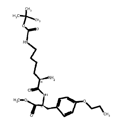 CCCOc1ccc(C[C@H](NC(=O)[C@H](N)CCCCNC(=O)OC(C)(C)C)C(=O)OC)cc1